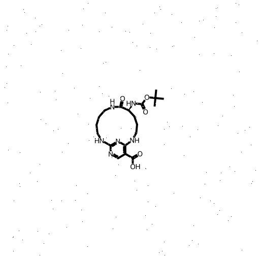 CC(C)(C)OC(=O)N[C@H]1CCCNc2nc(ncc2C(=O)O)NCCCCNC1=O